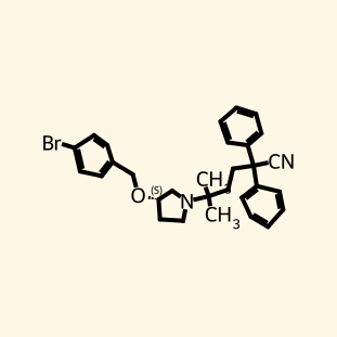 CC(C)(CCC(C#N)(c1ccccc1)c1ccccc1)N1CC[C@H](OCc2ccc(Br)cc2)C1